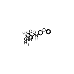 Cc1c[nH]c(=O)c2c(C(=O)NC3CCC(Oc4ccccc4)CC3)c[nH]c12